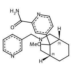 COC1(c2ccnc(C(N)=O)c2)[C@@H]2CCC[C@H]1CN(Cc1cccnc1)C2